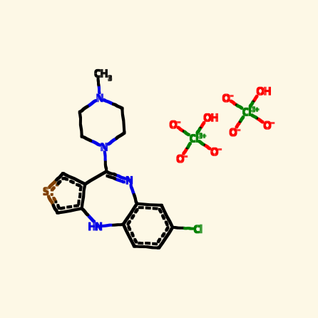 CN1CCN(C2=Nc3cc(Cl)ccc3Nc3cscc32)CC1.[O-][Cl+3]([O-])([O-])O.[O-][Cl+3]([O-])([O-])O